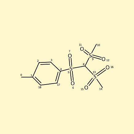 Cc1ccc(S(=O)(=O)C(S(C)(=O)=O)S(C)(=O)=O)cc1